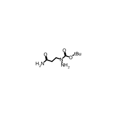 CC(C)(C)OC(=O)N(N)CCC(N)=O